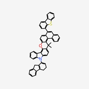 CC1(C)c2ccc3c(c2Oc2ccc4c(-c5cccc6c5sc5ccccc56)cc5ccccc5c4c21)c1ccccc1n3C1=CCCC2=C1Cc1ccccc12